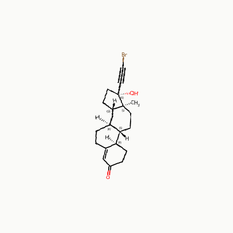 C[C@]12CC[C@H]3[C@@H](CCC4=CC(=O)CC[C@@H]43)[C@@H]1CC[C@@]2(O)C#CBr